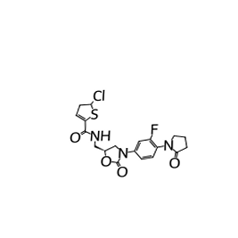 O=C(NC[C@H]1CN(c2ccc(N3CCCC3=O)c(F)c2)C(=O)O1)C1=CCC(Cl)S1